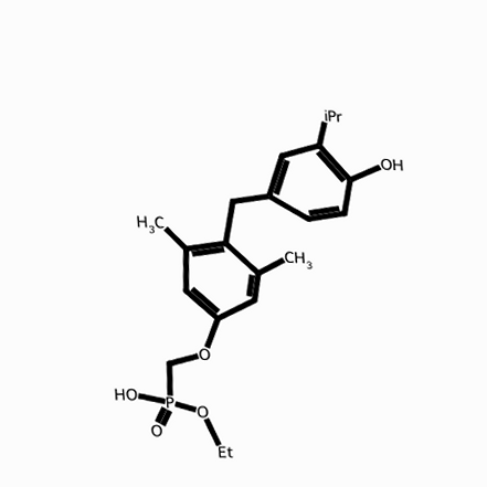 CCOP(=O)(O)COc1cc(C)c(Cc2ccc(O)c(C(C)C)c2)c(C)c1